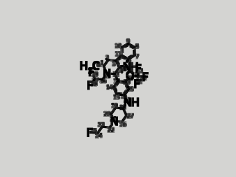 C[C@@H]1Cc2c([nH]c3ccccc23)[C@@H](c2ccc(NC3CCN(CCCF)CC3)cc2OC(F)(F)F)N1CC(F)F